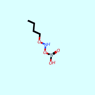 CCCCON[O][Ti](=[O])[OH]